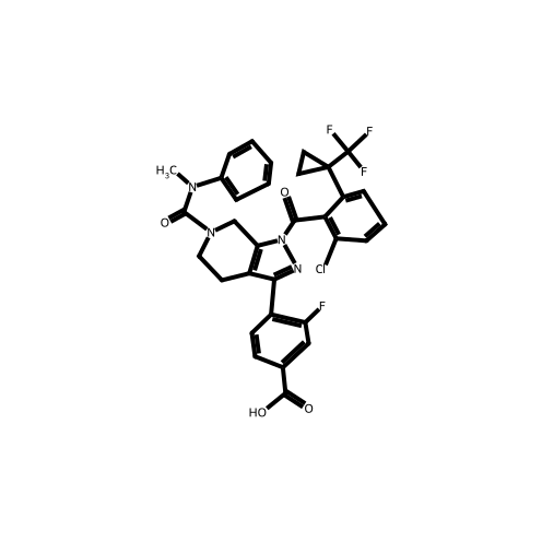 CN(C(=O)N1CCc2c(-c3ccc(C(=O)O)cc3F)nn(C(=O)c3c(Cl)cccc3C3(C(F)(F)F)CC3)c2C1)c1ccccc1